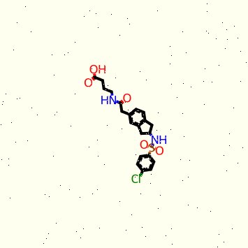 O=C(O)CCCNC(=O)Cc1ccc2c(c1)CC(NS(=O)(=O)c1ccc(Cl)cc1)C2